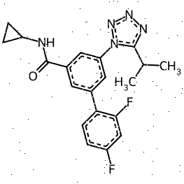 CC(C)c1nnnn1-c1cc(C(=O)NC2CC2)cc(-c2ccc(F)cc2F)c1